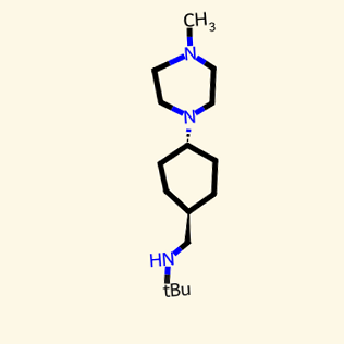 CN1CCN([C@H]2CC[C@H](CNC(C)(C)C)CC2)CC1